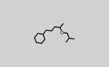 CC(C)COC(C)CCCC1CCCCC1